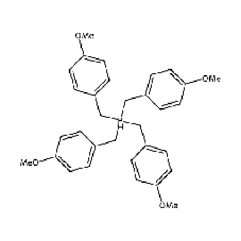 COc1ccc(C[PH](Cc2ccc(OC)cc2)(Cc2ccc(OC)cc2)Cc2ccc(OC)cc2)cc1